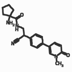 Cn1cc(-c2ccc(C(C#N)CNC(=O)C3(N)CCCC3)cc2)ccc1=O